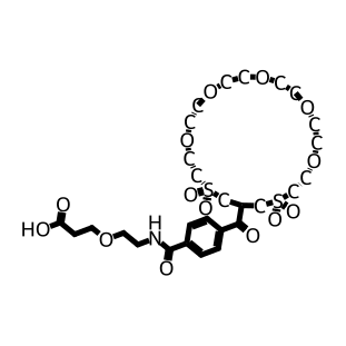 O=C(O)CCOCCNC(=O)c1ccc(C(=O)C2CS(=O)(=O)CCOCCOCCOCCOCCOCCS(=O)(=O)C2)cc1